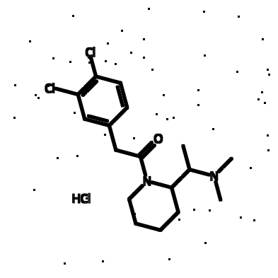 CC(C1CCCCN1C(=O)Cc1ccc(Cl)c(Cl)c1)N(C)C.Cl